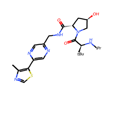 Cc1ncsc1-c1cnc(CNC(=O)[C@@H]2C[C@@H](O)CN2C(=O)[C@@H](NC(C)C)C(C)(C)C)cn1